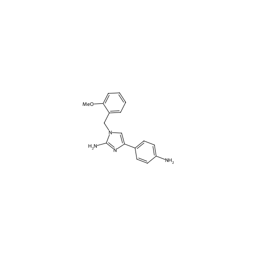 COc1ccccc1Cn1cc(-c2ccc(N)cc2)nc1N